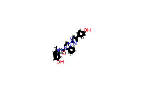 O=C(NC1[C@@H]2CC3C[C@H]1CC(O)(C3)C2)N1CCN(c2ncc(-c3ccc(O)cc3)cn2)c2ccccc21